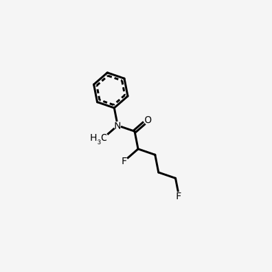 CN(C(=O)C(F)CCCF)c1ccccc1